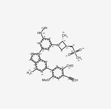 C#Cc1cc(OC)c(-c2cc3c(cnn3-c3cc(N4C[C@H](CS(C)(=O)=O)[C@H]4C)cc(NC(C)C)n3)c(C)n2)cc1C=O